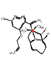 C=CCOc1cc(Cl)nnc1C(=C)[C@@H]1CC2CCC[C@@H]([C@@H]1F)N2B(C)O